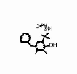 Cc1c(Cc2ccccc2)cc(C(C)(C)C)c(O)c1C.O=[PH2]O